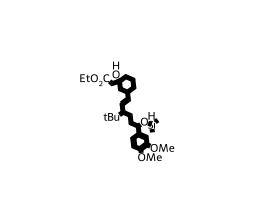 CCOC(=O)CC1(O)CCCC(C=CC(CCC(O[SiH](C)C)c2ccc(OC)c(OC)c2)C(C)(C)C)C1